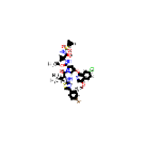 C=C[C@@H]1C[C@]1(NC(=O)[C@@H]1C[C@@H](Oc2ncc(OC)c3ccc(Cl)cc23)CN1C(=O)[C@@H](Nc1nc(-c2ccc(Br)cc2)cs1)C(C)(C)C)C(=O)NS(=O)(=O)C1CC1